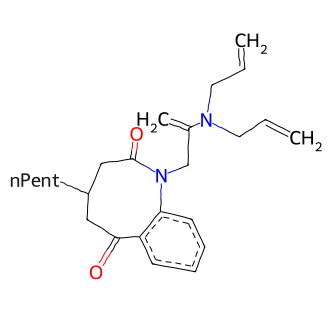 C=CCN(CC=C)C(=C)CN1C(=O)CC(CCCCC)CC(=O)c2ccccc21